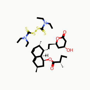 CCN(CC)C(=S)SSC(=S)N(CC)CC.CC[C@H](C)C(=O)O[C@H]1C[C@@H](C)C=C2C=C[C@H](C)[C@H](CC[C@@H]3C[C@@H](O)CC(=O)O3)[C@H]21